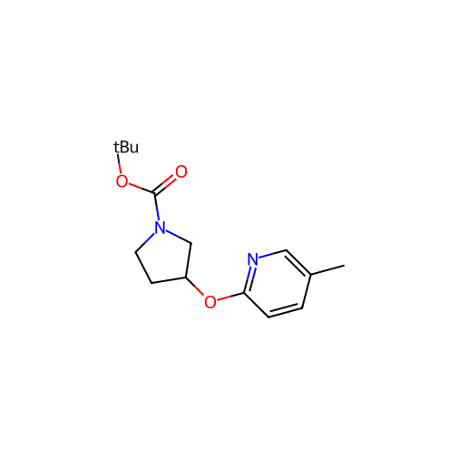 Cc1ccc(OC2CCN(C(=O)OC(C)(C)C)C2)nc1